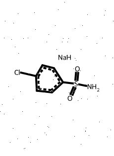 NS(=O)(=O)c1ccc(Cl)cc1.[NaH]